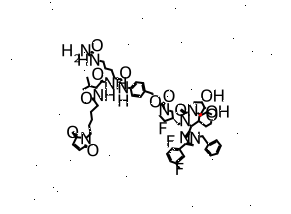 CC(C)C(NC(=O)CCCCCN1C(=O)C=CC1=O)C(=O)NC(CCCNC(N)=O)C(=O)Nc1ccc(COC(=O)N2C[C@@H](CN(C(=O)N3C[C@H](O)[C@@H](O)C3)C(c3nc(-c4cc(F)ccc4F)cn3Cc3ccccc3)C3CCOCC3)[C@@H](F)C2)cc1